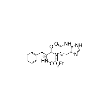 CCOC(=O)N[C@@H](Cc1ccccc1)C(=O)N[C@@H](Cc1c[nH]cn1)C(N)=O